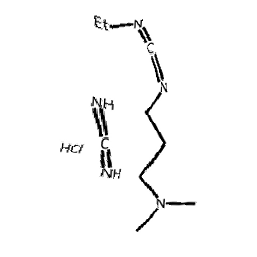 CCN=C=NCCCN(C)C.Cl.N=C=N